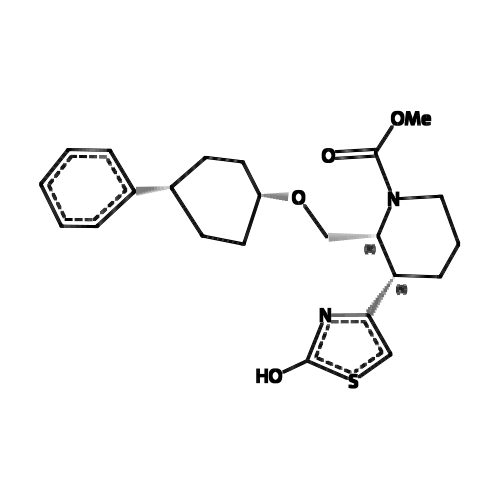 COC(=O)N1CCC[C@H](c2csc(O)n2)[C@@H]1CO[C@H]1CC[C@@H](c2ccccc2)CC1